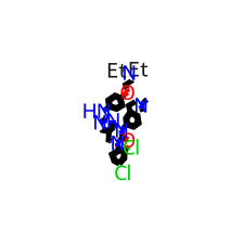 CCN(CC)CCOc1ccc(Nc2ncc3c(n2)N(c2cccc(CCN(C)C)c2)C(=O)N(c2ccc(Cl)cc2Cl)C3)cc1